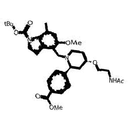 COC(=O)c1ccc([C@@H]2C[C@@H](OCCNC(C)=O)CCN2Cc2c(OC)cc(C)c3c2ccn3C(=O)OC(C)(C)C)cc1